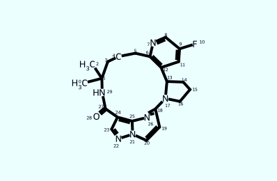 CC1(C)CCCc2ncc(F)cc2C2CCCN2c2ccn3ncc(c3n2)C(=O)N1